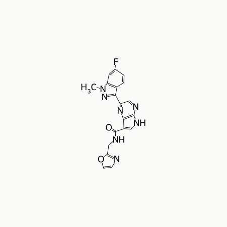 Cn1nc(-c2cnc3[nH]cc(C(=O)NCc4ncco4)c3n2)c2ccc(F)cc21